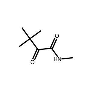 CNC(=O)C(=O)C(C)(C)C